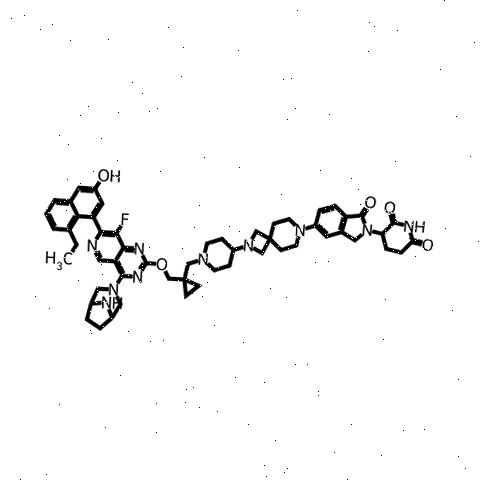 CCc1cccc2cc(O)cc(-c3ncc4c(N5CC6CCC(C5)N6)nc(OCC5(CN6CCC(N7CC8(CCN(c9ccc%10c(c9)CN(C9CCC(=O)NC9=O)C%10=O)CC8)C7)CC6)CC5)nc4c3F)c12